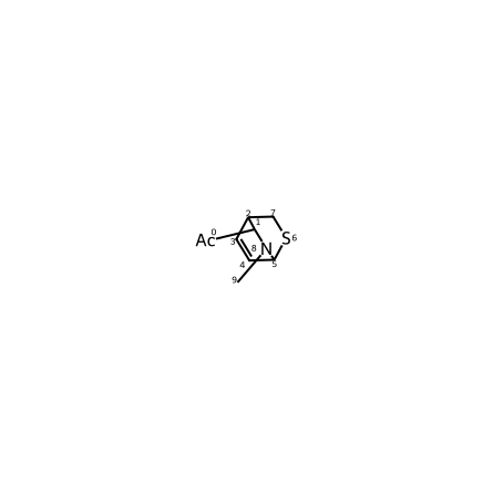 CC(=O)C1C2C=CC(SC2)N1C